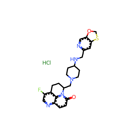 Cl.O=c1ccc2ncc(F)c3c2n1C(CN1CCC(NCc2cc4c(cn2)OCS4)CC1)CC3